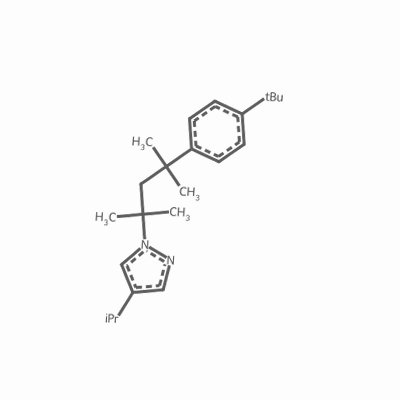 CC(C)c1cnn(C(C)(C)CC(C)(C)c2ccc(C(C)(C)C)cc2)c1